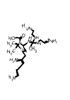 CC(NCCN)(NCCN)NC(CCCC(N)CCCN)N(C(=O)O)C(C)(C)C